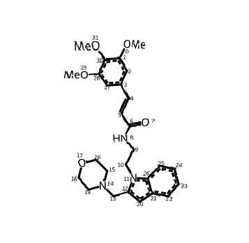 COc1cc(/C=C/C(=O)NCCn2c(CN3CCOCC3)cc3ccccc32)cc(OC)c1OC